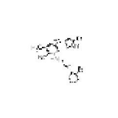 CCc1cc(Nc2cc(C)c(C#N)c(NCCOc3cccnc3CC)n2)n[nH]1